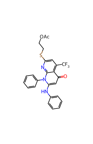 CC(=O)OCCSc1cc(C(F)(F)F)c2c(=O)cc(Nc3ccccc3)n(-c3ccccc3)c2n1